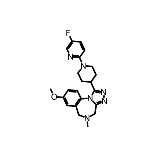 COc1ccc2c(c1)CN(C)Cc1nnc(C3CCN(c4ccc(F)cn4)CC3)n1-2